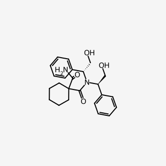 NC(=O)C1(C(=O)N([C@@H](CO)c2ccccc2)[C@@H](CO)c2ccccc2)CCCCC1